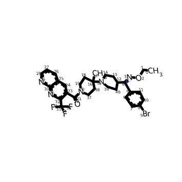 CCO/N=C(\c1ccc(Br)cc1)C1CCN(C2(C)CCN(C(=O)c3cc4cccnc4nc3C(F)(F)F)CC2)CC1